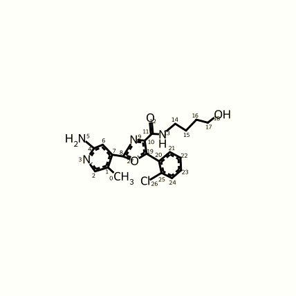 Cc1cnc(N)cc1-c1nc(C(=O)NCCCCO)c(-c2ccccc2Cl)o1